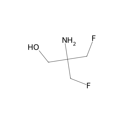 NC(CO)(CF)CF